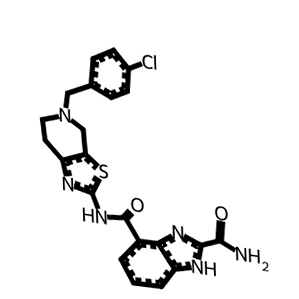 NC(=O)c1nc2c(C(=O)Nc3nc4c(s3)CN(Cc3ccc(Cl)cc3)CC4)cccc2[nH]1